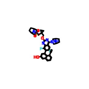 C#Cc1cccc2cc(O)cc(-c3c(F)cc4c(N5CC6CCC(C5)N6)nc(OCC5(CN6CC7CCC(C6)N7S(C)(=O)=O)CC5)nc4c3F)c12